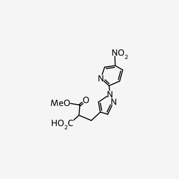 COC(=O)C(Cc1cnn(-c2ccc([N+](=O)[O-])cn2)c1)C(=O)O